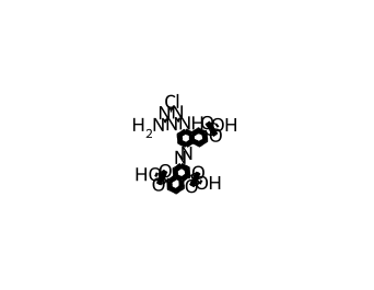 Nc1nc(Cl)nc(Nc2ccc(N=Nc3cc(S(=O)(=O)O)c4cccc(S(=O)(=O)O)c4c3)c3ccc(S(=O)(=O)O)cc23)n1